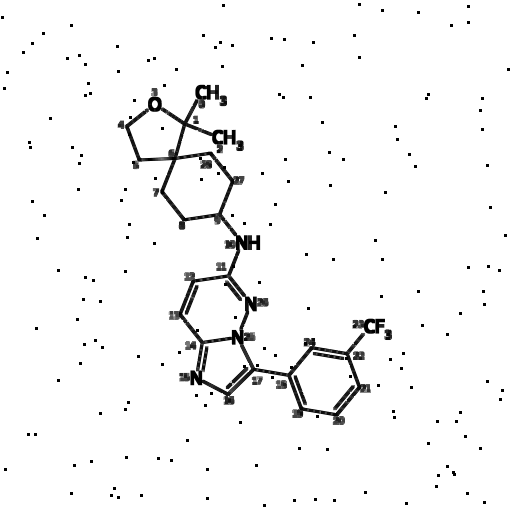 CC1(C)OCCC12CCC(Nc1ccc3ncc(-c4cccc(C(F)(F)F)c4)n3n1)CC2